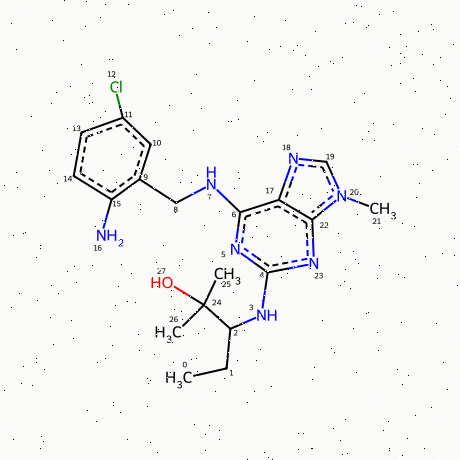 CCC(Nc1nc(NCc2cc(Cl)ccc2N)c2ncn(C)c2n1)C(C)(C)O